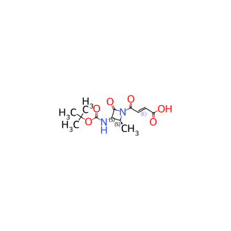 C[C@H]1[C@H](NC(=O)OC(C)(C)C)C(=O)N1C(=O)/C=C/C(=O)O